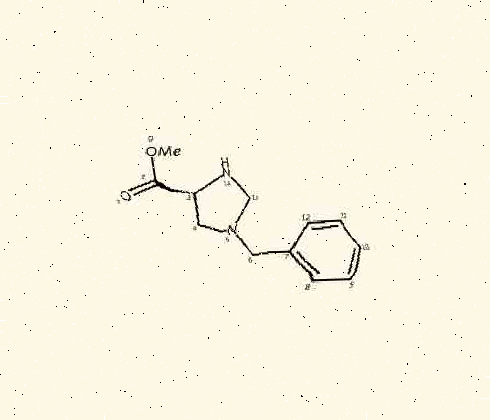 COC(=O)[C@@H]1CN(Cc2ccccc2)CN1